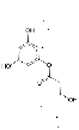 O=C(CCO)Oc1cc(O)cc(O)c1